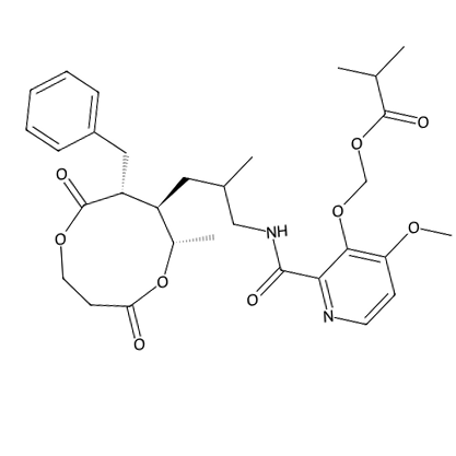 COc1ccnc(C(=O)NCC(C)C[C@H]2[C@H](C)OC(=O)CCOC(=O)[C@@H]2Cc2ccccc2)c1OCOC(=O)C(C)C